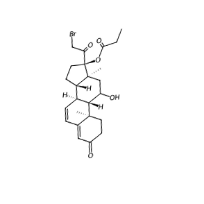 CCC(=O)O[C@]1(C(=O)CBr)CC[C@H]2[C@@H]3C=CC4=CC(=O)CC[C@]4(C)[C@H]3C(O)C[C@@]21C